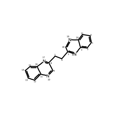 c1ccc2nc(CCc3cnc4ccccc4n3)cnc2c1